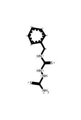 NC(=S)NNC(=S)NCc1ccccc1